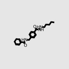 CCCCCNNC(=O)c1ccc(CNC(=O)C2=CCCC=C2)cc1